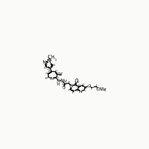 COCCOc1cnc2ccn(CC(=O)NNC3=NCC=C(c4cnn(C)c4)C=C3F)c(=O)c2c1